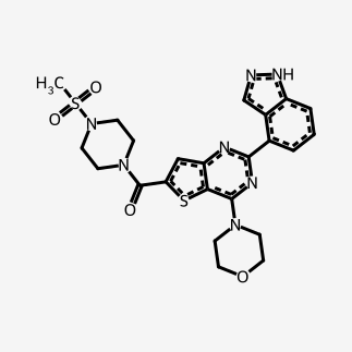 CS(=O)(=O)N1CCN(C(=O)c2cc3nc(-c4cccc5[nH]ncc45)nc(N4CCOCC4)c3s2)CC1